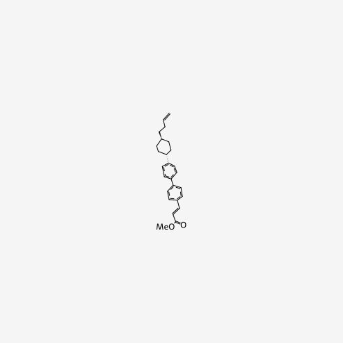 C=CCC[C@H]1CC[C@H](c2ccc(-c3ccc(C=CC(=O)OC)cc3)cc2)CC1